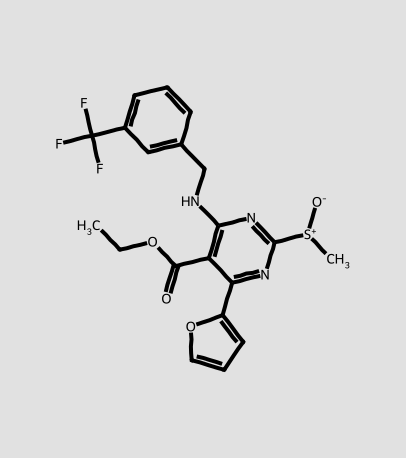 CCOC(=O)c1c(NCc2cccc(C(F)(F)F)c2)nc([S+](C)[O-])nc1-c1ccco1